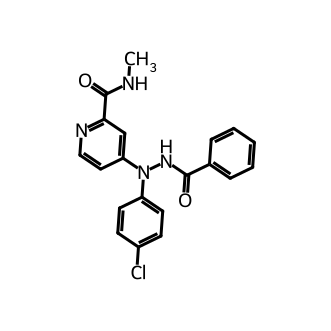 CNC(=O)c1cc(N(NC(=O)c2ccccc2)c2ccc(Cl)cc2)ccn1